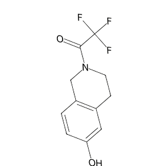 O=C(N1CCc2cc(O)ccc2C1)C(F)(F)F